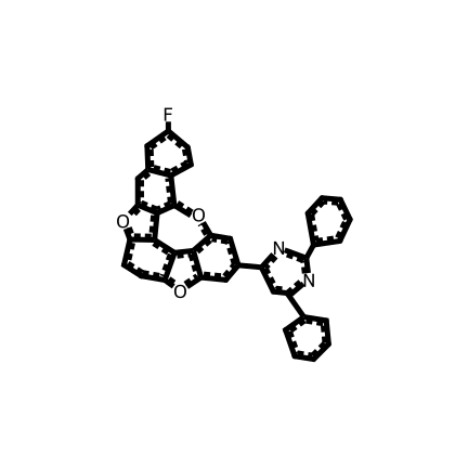 Fc1ccc2c(c1)cc1oc3ccc4oc5cc(-c6cc(-c7ccccc7)nc(-c7ccccc7)n6)cc6oc2c1c3c4c56